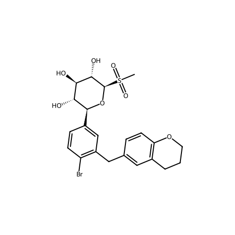 CS(=O)(=O)[C@H]1O[C@@H](c2ccc(Br)c(Cc3ccc4c(c3)CCCO4)c2)[C@H](O)[C@@H](O)[C@@H]1O